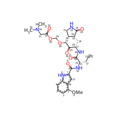 COc1cccc2[nH]c(C(=O)N[C@@H](CC(C)C)C(=O)N[C@@H](C[C@@H]3CCNC3=O)C(=O)COCOC(=O)CN(C)C)cc12